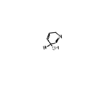 OC1(Br)C=CCN=C1